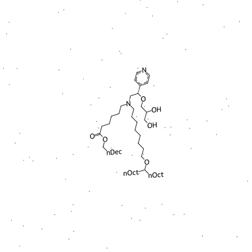 CCCCCCCCCCCOC(=O)CCCCCN(CCCCCCCCOC(CCCCCCCC)CCCCCCCC)CC(OCC(O)CO)c1ccncc1